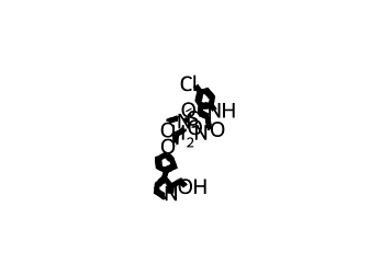 NC(=O)c1[nH]c2ccc(Cl)cc2c1S(=O)(=O)N1CCOC(COc2ccc(-c3cccnc3CO)cc2)C1